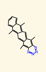 Cc1c2ccccc2c(C)c2cc3c(C)c4nnnnc4c(C)c3cc12